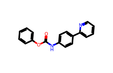 O=C(Nc1ccc(-c2ccccn2)cc1)Oc1ccccc1